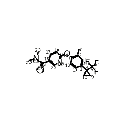 Cc1cc(C2(C(F)(F)F)CC2)ccc1Oc1ccc(C(=O)N(C)C)cn1